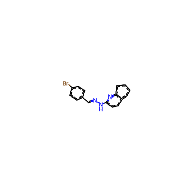 Brc1ccc(/C=N/Nc2ccc3ccccc3n2)cc1